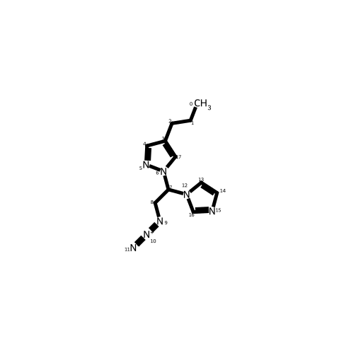 CCCc1cnn(C(CN=[N+]=[N-])n2ccnc2)c1